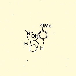 COc1ccc(C)c([C@@]2(O)C[C@H]3CC[C@H](C3)[C@@H]2CN(C)C)c1